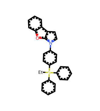 CCS(c1ccccc1)(c1ccccc1)c1ccc(-n2ccc3c4ccccc4oc32)cc1